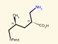 CCCCCC[C@@H](C)C[C@H](CN)C(=O)O